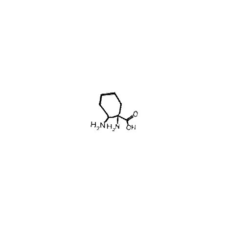 NC1CCCCC1(N)C(=O)O